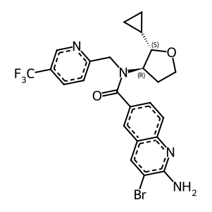 Nc1nc2ccc(C(=O)N(Cc3ccc(C(F)(F)F)cn3)[C@@H]3CCO[C@H]3C3CC3)cc2cc1Br